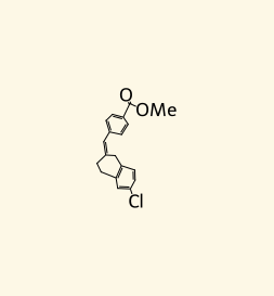 COC(=O)c1ccc(C=C2CCc3cc(Cl)ccc3C2)cc1